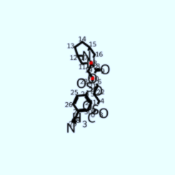 CS(=O)(=O)CCCOC(=O)N1CC2CCC(C1)N2CCCS(=O)(=O)c1ccc(C#N)cc1